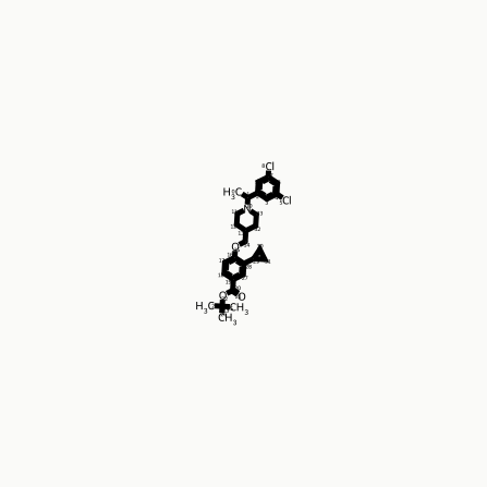 CC(c1cc(Cl)cc(Cl)c1)N1CCC(COc2ccc(C(=O)OC(C)(C)C)cc2C2CC2)CC1